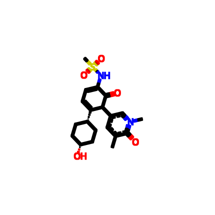 Cc1cc(C2C(=O)C(NS(C)(=O)=O)=CC=C2[C@H]2CC[C@@H](O)CC2)cn(C)c1=O